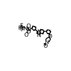 CC(=O)N1CCC(Oc2cccc(-c3ccn4c(-c5cccc(N(OC=O)C(=O)NCC(F)(F)F)c5)cnc4c3)c2)CC1